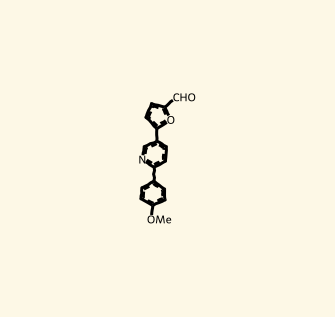 COc1ccc(-c2ccc(-c3ccc(C=O)o3)cn2)cc1